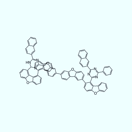 c1ccc(C2=NC(c3cccc4oc5cccc(-c6cccc7oc8cc(-c9ccc%10c(c9)oc9ccc(-c%11ccc%12oc%13ccccc%13c%12c%11-c%11nc(-c%12ccccc%12)nc(-c%12ccc%13ccccc%13c%12)n%11)cc9%10)ccc8c67)c5c34)NC(c3ccc4ccccc4c3)=N2)cc1